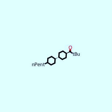 CCCCCC1CCC([C@H]2CC[C@H](C(=O)C(C)(C)C)CC2)CC1